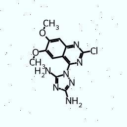 COc1cc2nc(Cl)nc(-n3nc(N)nc3N)c2cc1OC